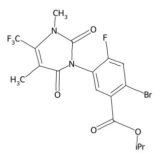 Cc1c(C(F)(F)F)n(C)c(=O)n(-c2cc(C(=O)OC(C)C)c(Br)cc2F)c1=O